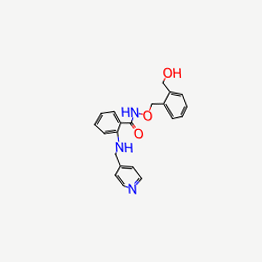 O=C(NOCc1ccccc1CO)c1ccccc1NCc1ccncc1